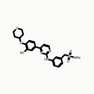 CNS(=O)(=O)Cc1cccc(Nc2nccc(-c3ccc(OC4CCOCC4)c(C#N)c3)n2)c1